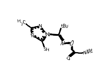 CNC(=O)ON=C(n1nc(C)nc1S)C(C)(C)C